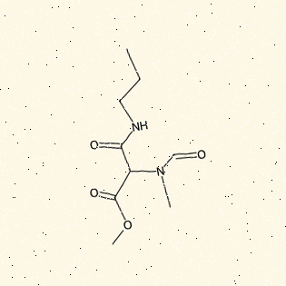 CCCNC(=O)C(C(=O)OC)N(C)C=O